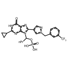 CCCC(OP(=O)(O)O)n1c(-c2cnn(Cc3cccc(C(F)(F)F)c3)c2)nc2c(=O)[nH]c(C3CC3)nc21